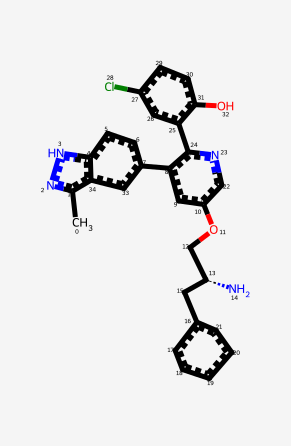 Cc1n[nH]c2ccc(-c3cc(OC[C@H](N)Cc4ccccc4)cnc3-c3cc(Cl)ccc3O)cc12